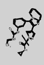 CC(C)(C(=O)NC1CC1)n1cc(-c2nc3ccccn3c2-c2cccc(NC(=O)NCC(F)(F)F)c2)cn1